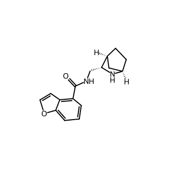 O=C(NC[C@H]1N[C@@H]2CC[C@H]1C2)c1cccc2occc12